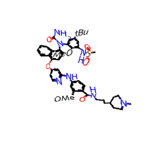 COc1cc(Nc2cc(Oc3ccc(N(C(N)=O)c4cc(C(C)(C)C)cc(NS(C)(=O)=O)c4OC)c4ccccc34)ccn2)ccc1C(=O)NCCCC1CCN(C)CC1